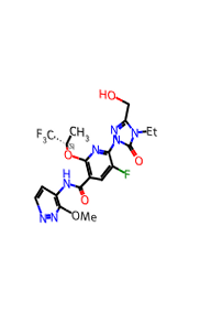 CCn1c(CO)nn(-c2nc(O[C@@H](C)C(F)(F)F)c(C(=O)Nc3ccnnc3OC)cc2F)c1=O